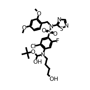 COc1ccc(CN(c2ncns2)S(=O)(=O)c2cc(Cl)c(N(CCCCO)C(O)OC(C)(C)C)cc2F)c(OC)c1